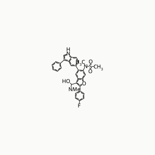 CNC(O)c1c(-c2ccc(F)cc2)oc2cc(N(C)S(C)(=O)=O)c(-c3ccc4[nH]cc(-c5ccccc5)c4c3)cc12